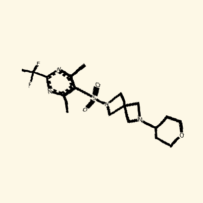 Cc1nc(C(C)(F)F)nc(C)c1S(=O)(=O)N1CC2(CN(C3CCOCC3)C2)C1